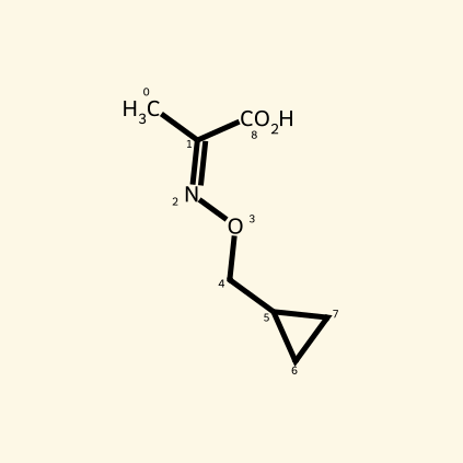 C/C(=N/OCC1CC1)C(=O)O